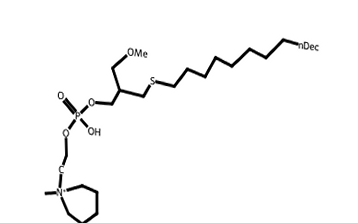 CCCCCCCCCCCCCCCCCCSCC(COC)COP(=O)(O)OCC[N+]1(C)CCCCC1